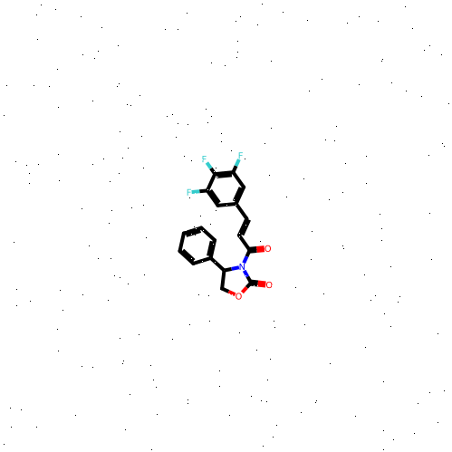 O=C(C=Cc1cc(F)c(F)c(F)c1)N1C(=O)OCC1c1ccccc1